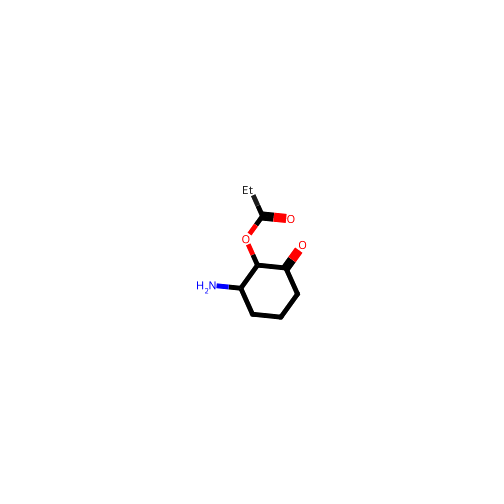 CCC(=O)OC1C(=O)CCCC1N